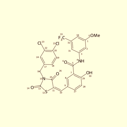 COc1cc(NC(=O)c2cc(C=C3SC(=O)N(Cc4ccc(Cl)c(Cl)c4)C3=O)ccc2O)cc(C(F)(F)F)c1